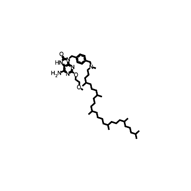 COCCOc1nc(N)c2[nH]c(=O)n(Cc3ccc(CN(C)CCCC(C)CCCC(C)CCCC(C)CCCCC(C)CCCC(C)CCCC(C)C)cc3)c2n1